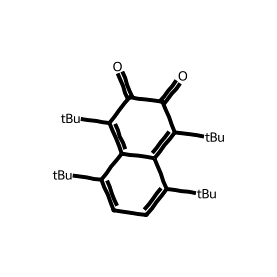 CC(C)(C)C1=c2c(C(C)(C)C)ccc(C(C)(C)C)c2=C(C(C)(C)C)C(=O)C1=O